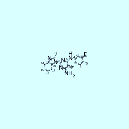 Cc1ccc(Nc2nc(-n3c(C)nc4ccccc43)nc(N)c2F)cc1F